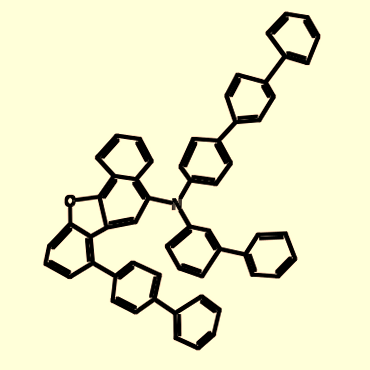 c1ccc(-c2ccc(-c3ccc(N(c4cccc(-c5ccccc5)c4)c4cc5c(oc6cccc(-c7ccc(-c8ccccc8)cc7)c65)c5ccccc45)cc3)cc2)cc1